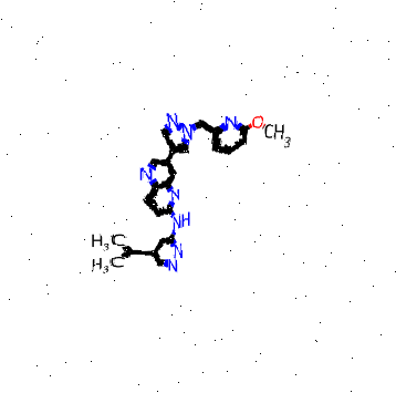 COc1cccc(Cn2cc(-c3cnc4ccc(Nc5cc(C(C)C)cnn5)nc4c3)cn2)n1